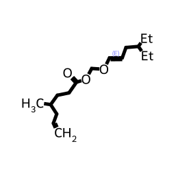 C=CCC(C)CCC(=O)OCO/C=C/CC(CC)CC